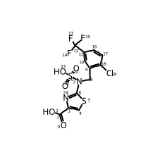 O=C(O)c1csc(N(Cc2cc(C(F)(F)F)ccc2Cl)S(=O)(=O)O)n1